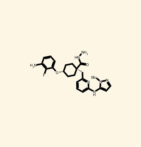 CC(C)(C)n1nccc1Nc1cccc(C[C@]2(C(=O)NN)CC[C@H](Oc3cccc(N)c3F)CC2)n1